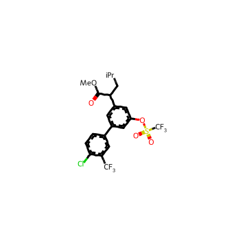 COC(=O)C(CC(C)C)c1cc(OS(=O)(=O)C(F)(F)F)cc(-c2ccc(Cl)c(C(F)(F)F)c2)c1